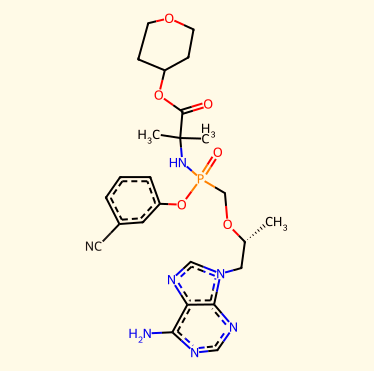 C[C@H](Cn1cnc2c(N)ncnc21)OCP(=O)(NC(C)(C)C(=O)OC1CCOCC1)Oc1cccc(C#N)c1